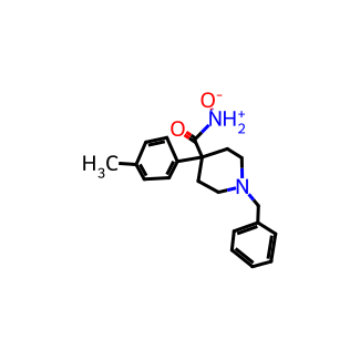 Cc1ccc(C2(C(=O)[NH2+][O-])CCN(Cc3ccccc3)CC2)cc1